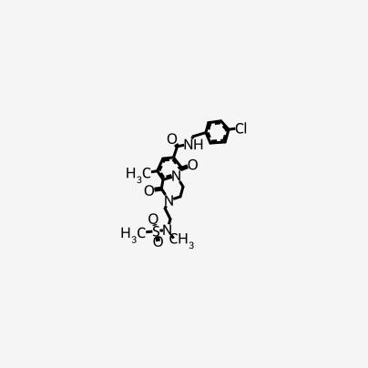 Cc1cc(C(=O)NCc2ccc(Cl)cc2)c(=O)n2c1C(=O)N(CCN(C)S(C)(=O)=O)CC2